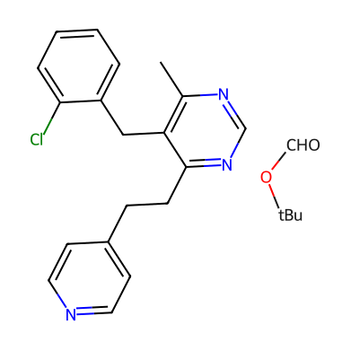 CC(C)(C)OC=O.Cc1ncnc(CCc2ccncc2)c1Cc1ccccc1Cl